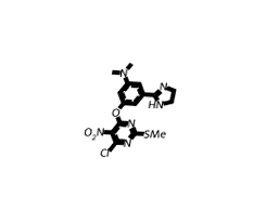 CSc1nc(Cl)c([N+](=O)[O-])c(Oc2cc(C3=NCCN3)cc(N(C)C)c2)n1